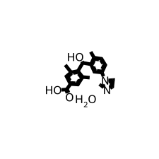 Cc1ccc(-n2ccnc2)cc1C(O)c1c(C)cc(C(=O)O)cc1C.O